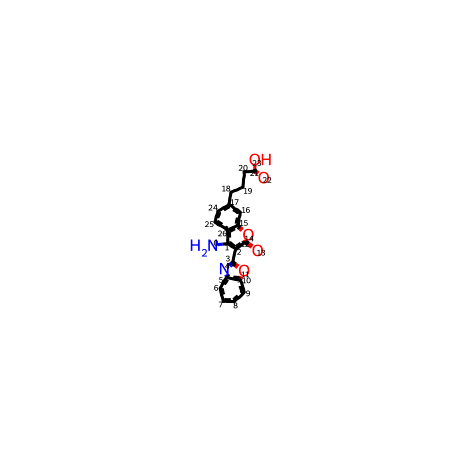 Nc1c(-c2nc3ccccc3o2)c(=O)oc2cc(CCCC(=O)O)ccc12